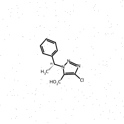 C[C@H](c1ccccc1)n1nnc(Cl)c1C(=O)O